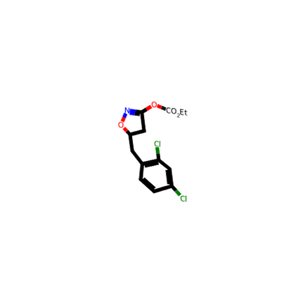 CCOC(=O)OC1=NOC(Cc2ccc(Cl)cc2Cl)C1